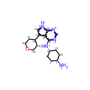 N[C@H]1CC[C@H](Nc2ncnc3[nH]cc(C4CCOCC4)c23)CC1